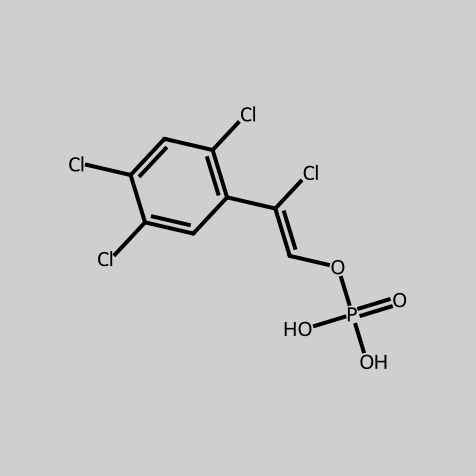 O=P(O)(O)O/C=C(\Cl)c1cc(Cl)c(Cl)cc1Cl